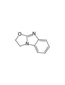 c1ccc2c(c1)nc1n2CCO1